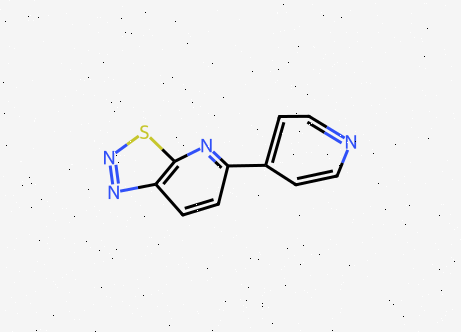 c1cc(-c2ccc3nnsc3n2)ccn1